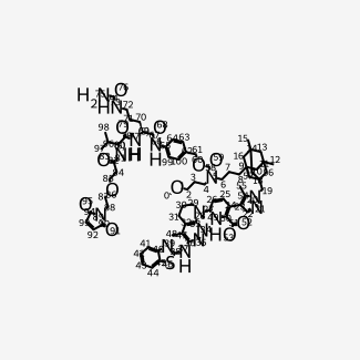 COCCCN(CCCC12CC3(C)CC(C)(C1)CC(Cn1ncc(-c4ccc(N5CCCc6c5nnc(Nc5nc7ccccc7s5)c6C)nc4C(=O)O)c1C)(C3)C2)C(=O)OCc1ccc(NC(=O)[C@H](CCCNC(N)=O)NC(=O)[C@@H](NC(=O)CCOCCN2C(=O)C=CC2=O)C(C)C)cc1